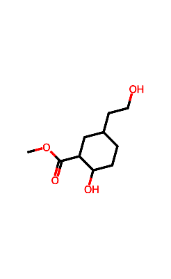 COC(=O)C1CC(CCO)CCC1O